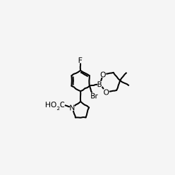 CC1(C)COB(C2(Br)C=C(F)C=CC2C2CCCN2C(=O)O)OC1